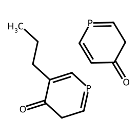 CCCC1=CP=CCC1=O.O=C1C=CP=CC1